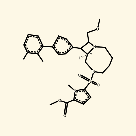 COCC1C(c2ccc(-c3cccc(C)c3C)cc2)[C@@H]2CN(S(=O)(=O)c3ccc(C(=O)OC)n3C)CCCCN12